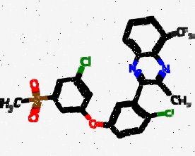 Cc1nc2c(C(F)(F)F)cccc2nc1-c1cc(Oc2cc(Cl)cc(S(C)(=O)=O)c2)ccc1Cl